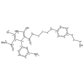 CCCC1=C(C(=O)OCCCOc2ccc(CCCO)cc2)C(c2cccc([N+](=O)[O-])c2)C(C(=O)OC)=C(CC)N1